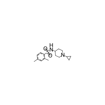 Cc1ccc(S(=O)(=O)NC2CCN(C3CC3)CC2)c(C)c1